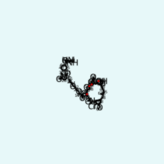 COc1cc2cc(c1Cl)N(C)C(=O)C[C@H](OC(=O)[C@H](C)OCCOCCSC1CC(=O)N(C[C@H]3CC[C@H](C(=O)NNI)CC3)C1=O)[C@@]1(C)CC(C)(O1)[C@@H]1C[C@@](O)(NC(=O)O1)[C@H](OC)/C=C/C=C(\C)C2